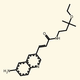 CCOC(C)(C)CCNC(=O)/C=C/c1cnc2ccc(N)cc2c1